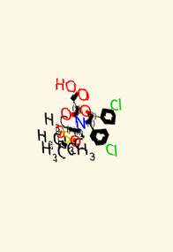 CC[C@H]([C@@H](C)S(=O)(=O)C(C)(C)C)N1C(=O)[C@H](CC(=O)O)O[C@H](c2cccc(Cl)c2)[C@H]1c1ccc(Cl)cc1